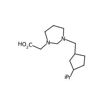 CC(C)C1CCC(CN2CCCN(CC(=O)O)C2)C1